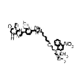 CCN1C(=O)CNc2ncc(-c3ccc(-c4ncn(CCCCCOCCN(CN(C)C)c5ccc([N+](=O)[O-])c6ccccc56)n4)nc3C)nc21